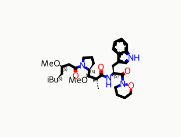 CC[C@H](C)C[C@@H](CC(=O)N1CCC[C@H]1[C@H](OC)[C@@H](C)C(=O)N[C@@H](Cc1c[nH]c2ccccc12)C(=O)N1CCCCO1)OC